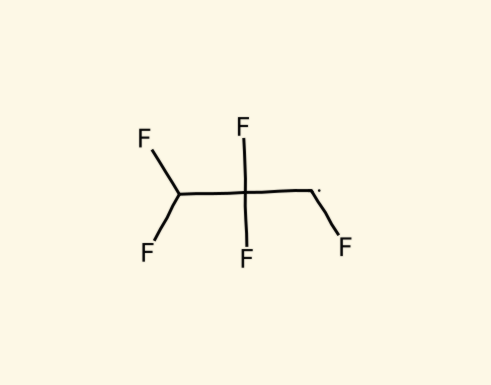 F[CH]C(F)(F)C(F)F